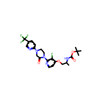 CC(COc1ccnc(N2CCN(c3ccc(C(F)(F)F)cn3)CC2=O)c1F)NC(=O)OC(C)(C)C